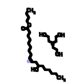 CCCCCCC(O)C/C=C\CCCCCCCC(=O)OCCCC.OCCN(CCO)CCO